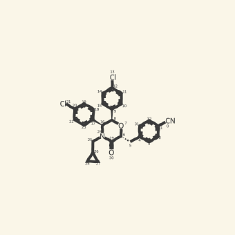 N#Cc1ccc(C[C@H]2O[C@H](c3ccc(Cl)cc3)[C@H](c3ccc(Cl)cc3)N(CC3CC3)C2=O)cc1